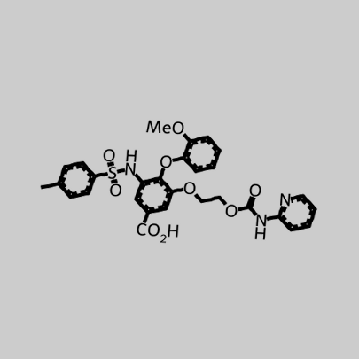 COc1ccccc1Oc1c(NS(=O)(=O)c2ccc(C)cc2)cc(C(=O)O)cc1OCCOC(=O)Nc1ccccn1